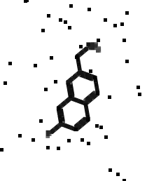 NCc1ccc2ccc(F)cc2c1